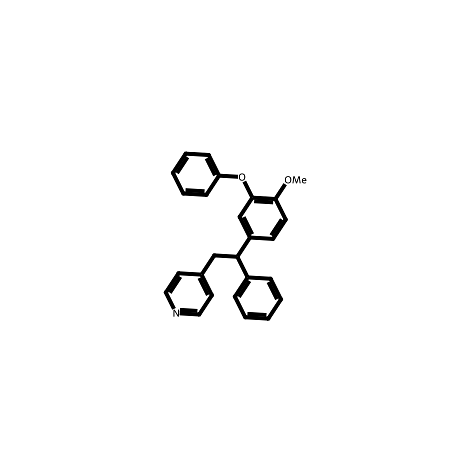 COc1ccc(C(Cc2ccncc2)c2ccccc2)cc1Oc1ccccc1